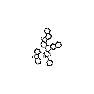 c1ccc(-c2nc(-c3cc4ccccc4cc3-c3nccc4oc5c6ccccc6ccc5c34)nc(-c3cccc4oc5ccccc5c34)n2)cc1